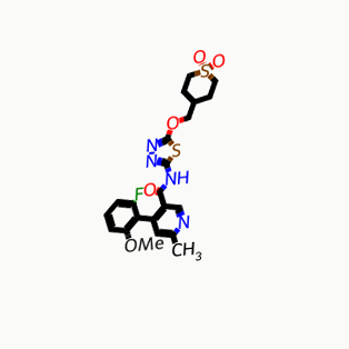 COc1cccc(F)c1-c1cc(C)ncc1C(=O)Nc1nnc(OCC2CCS(=O)(=O)CC2)s1